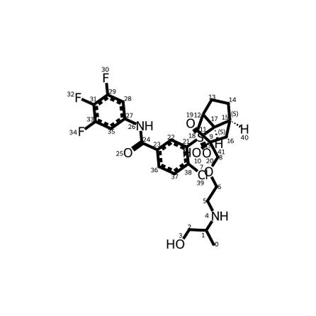 CC(CO)NCCOC[C@]1(O)CC2CC[C@@H](C1)[C@H]2S(=O)(=O)c1cc(C(=O)Nc2cc(F)c(F)c(F)c2)ccc1Cl